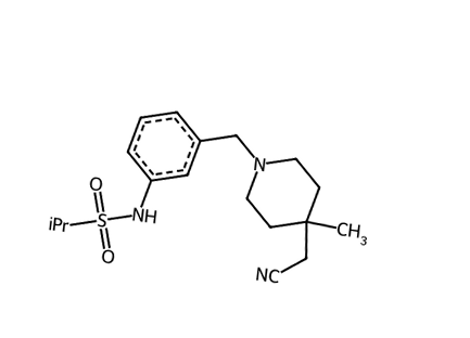 CC(C)S(=O)(=O)Nc1cccc(CN2CCC(C)(CC#N)CC2)c1